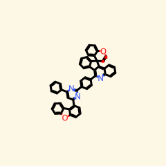 c1ccc(-c2cc(-c3cccc4oc5ccccc5c34)nc(-c3ccc(-c4nc5ccccc5c5c4-c4ccccc4C54c5ccccc5Oc5ccccc54)cc3)n2)cc1